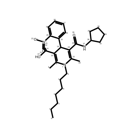 CCCCCCCN1C(C)=C(C(=O)O)C(c2ccccc2[N+](=O)[O-])C(C(=O)NC2CCCC2)=C1C